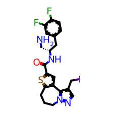 NC[C@H](Cc1ccc(F)c(F)c1)NC(=O)c1cc2c(s1)CCCn1ncc(CI)c1-2